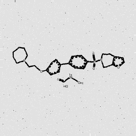 Cl.O=CNO.O=S(=O)(c1ccc(-c2ccc(OCCN3CCCCCC3)cc2)cc1)N1CCc2ccoc2C1